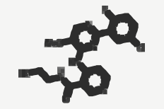 COc1cnc(-c2cc(Cl)ccc2F)nc1Nc1ccncc1C(=O)NCCC#N